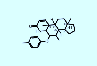 Cc1ccc(OC2C(C)[C@@H]3[C@@H](CC[C@]4(C)CCC[C@@H]34)[C@@]3(C)C=CC(=O)NC23)cc1